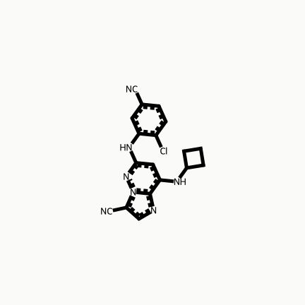 N#Cc1ccc(Cl)c(Nc2cc(NC3CCC3)c3ncc(C#N)n3n2)c1